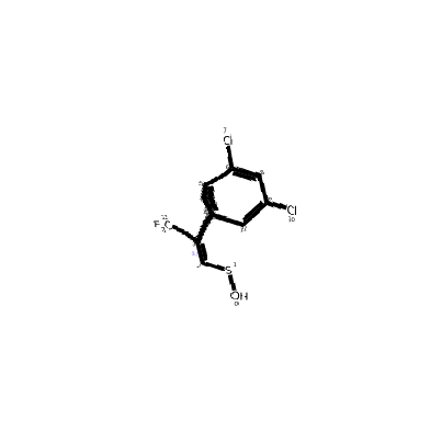 OS/C=C(\c1cc(Cl)cc(Cl)c1)C(F)(F)F